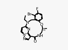 CCN1Cc2c(ccc(F)c2Br)O[C@@H](C)CNC(=O)C2=C3N=C1C=C=[N+]3N=C2